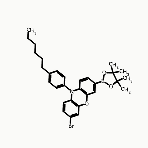 CCCCCCc1ccc(N2c3ccc(Br)cc3Oc3cc(B4OC(C)(C)C(C)(C)O4)ccc32)cc1